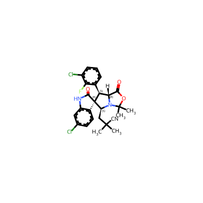 CC(C)(C#N)C[C@@H]1N2[C@@H](C(=O)OC2(C)C)[C@H](c2cccc(Cl)c2F)[C@]12C(=O)Nc1cc(Cl)ccc12